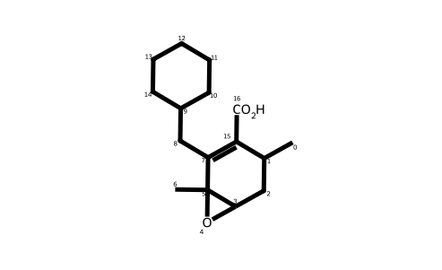 CC1CC2OC2(C)C(CC2CCCCC2)=C1C(=O)O